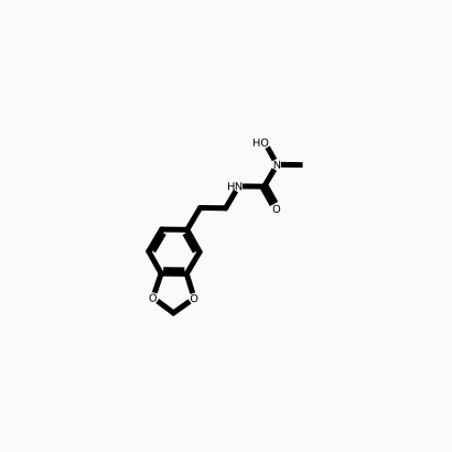 CN(O)C(=O)NCCc1ccc2c(c1)OCO2